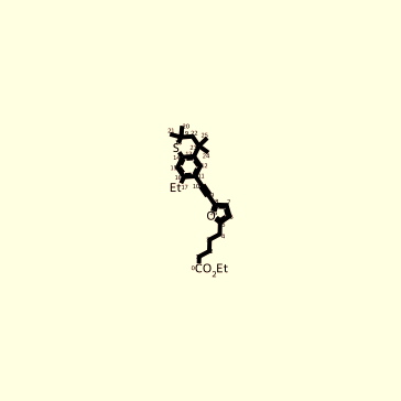 CCOC(=O)CCCCc1ccc(C#Cc2cc3c(cc2CC)SC(C)(C)CC3(C)C)o1